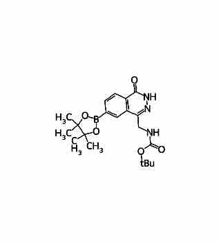 CC(C)(C)OC(=O)NCc1n[nH]c(=O)c2ccc(B3OC(C)(C)C(C)(C)O3)cc12